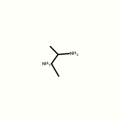 CCC(C)N.N